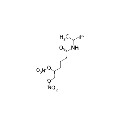 CC(C)C(C)NC(=O)CCCC(CO[N+](=O)[O-])O[N+](=O)[O-]